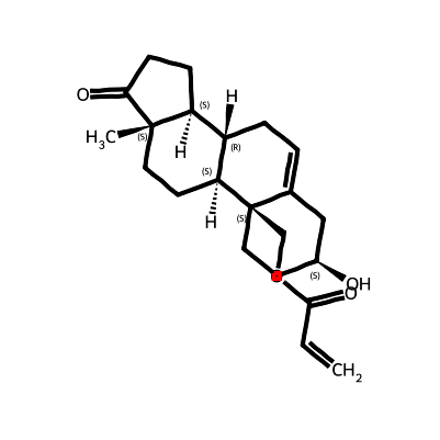 C=CC(=O)OC[C@]12CC[C@H](O)CC1=CC[C@@H]1[C@@H]2CC[C@]2(C)C(=O)CC[C@@H]12